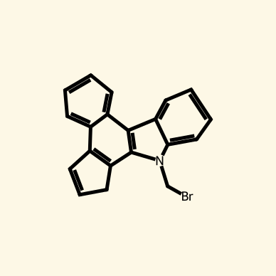 BrCn1c2ccccc2c2c3ccccc3c3c(c21)CC=C3